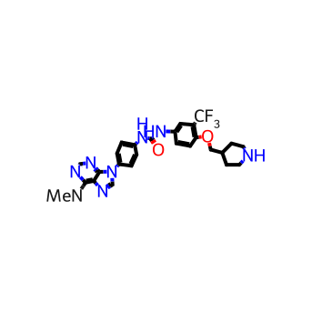 CNc1ncnc2c1ncn2-c1ccc(NC(=O)Nc2ccc(OCC3CCNCC3)c(C(F)(F)F)c2)cc1